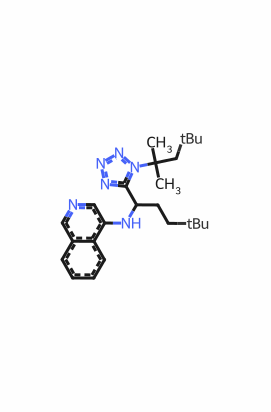 CC(C)(C)CCC(Nc1cncc2ccccc12)c1nnnn1C(C)(C)CC(C)(C)C